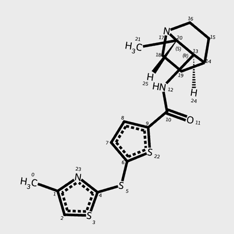 Cc1csc(Sc2ccc(C(=O)N[C@@H]3C4CCN(CC4)[C@H]3C)s2)n1